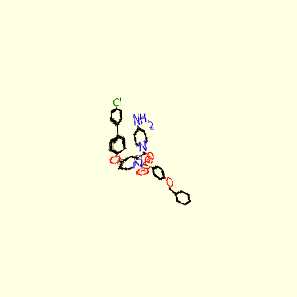 NC1CCN(C(=O)[C@@H]2C[C@H](Oc3ccc(-c4ccc(Cl)cc4)cc3)CCN2S(=O)(=O)c2ccc(OCC3CCCCC3)cc2)CC1